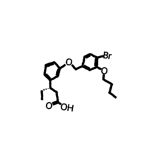 CCCCOc1cc(COc2cccc([C@@H](CC)CC(=O)O)c2)ccc1Br